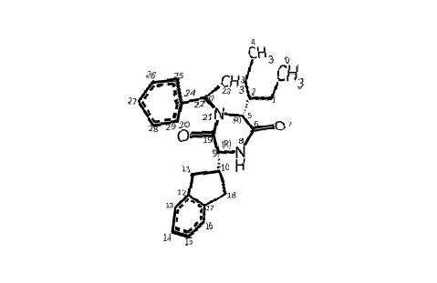 CCC(CC)[C@@H]1C(=O)N[C@H](C2Cc3ccccc3C2)C(=O)N1[C@H](C)c1ccccc1